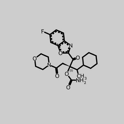 CC(C1CCCCC1)[C@](CC(=O)N1CCOCC1)(OC(N)=O)C(=O)c1nc2ccc(F)cc2o1